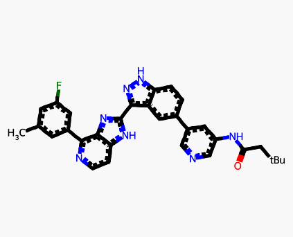 Cc1cc(F)cc(-c2nccc3[nH]c(-c4n[nH]c5ccc(-c6cncc(NC(=O)CC(C)(C)C)c6)cc45)nc23)c1